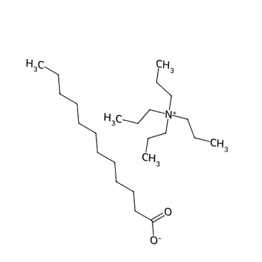 CCCCCCCCCCCC(=O)[O-].CCC[N+](CCC)(CCC)CCC